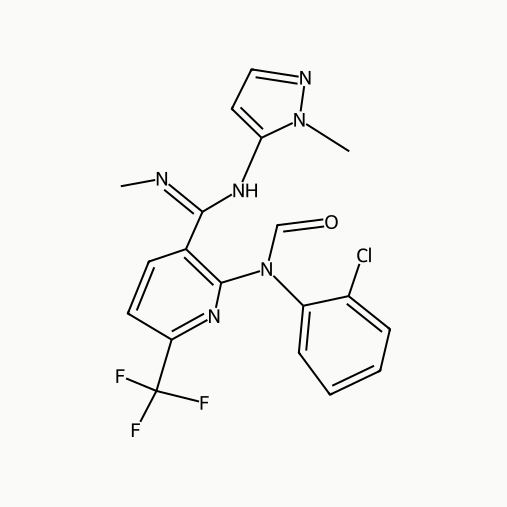 C/N=C(/Nc1ccnn1C)c1ccc(C(F)(F)F)nc1N(C=O)c1ccccc1Cl